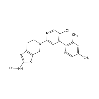 CCNc1nc2c(s1)CN(c1cc(-c3ncc(C)cc3C)c(Cl)cn1)CC2